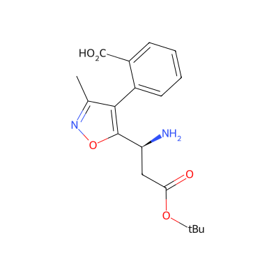 Cc1noc([C@@H](N)CC(=O)OC(C)(C)C)c1-c1ccccc1C(=O)O